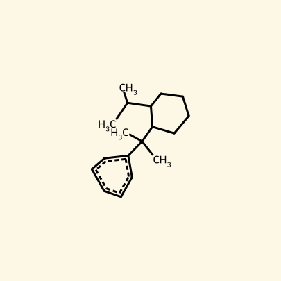 CC(C)C1CCCCC1C(C)(C)c1ccccc1